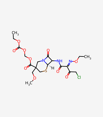 CCON=C(C(=O)CCl)C(=O)NC1C(=O)N2CC(COC)(C(=O)OCOC(=O)OCC)CS[C@H]12